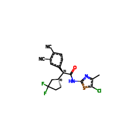 Cc1nc(NC(=O)[C@H](c2ccc(C#N)c(C#N)c2)[C@@H]2CCC(F)(F)C2)sc1Cl